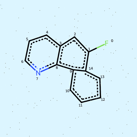 Fc1cc2cccnc2c2ccccc12